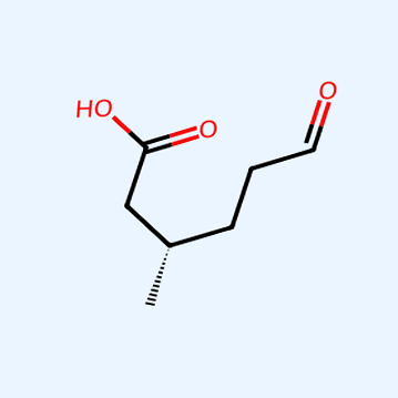 C[C@@H](CCC=O)CC(=O)O